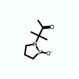 CC(=O)C(C)(C)N1CCC[S+]1[O-]